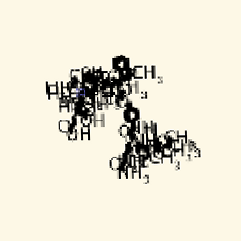 C/C(=C\[C@H](C(C)C)N(C)C(=O)[C@@H](NC(=O)[C@@H](N(C)C(=O)OCc1ccc(NC(=O)[C@H](CCCNC(N)=O)NC(=O)[C@@H](NC(=O)OC(C)(C)C)C(C)C)cc1)C(C)(C)c1cn(C)c2ccccc12)C(C)(C)C)C(=O)N[C@H](CCC(=O)O)C(=O)O